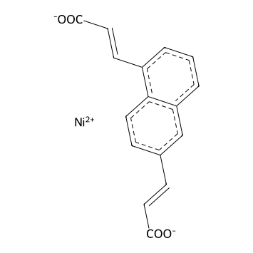 O=C([O-])C=Cc1ccc2c(C=CC(=O)[O-])cccc2c1.[Ni+2]